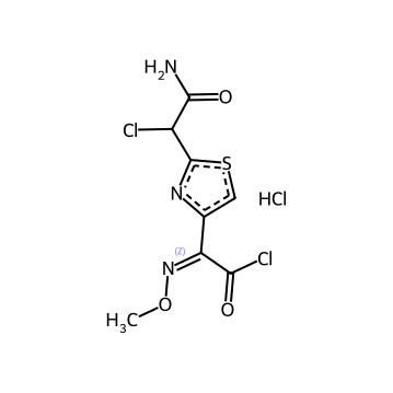 CO/N=C(\C(=O)Cl)c1csc(C(Cl)C(N)=O)n1.Cl